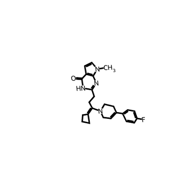 Cn1ccc2c(=O)[nH]c(CCC(=C3CCC3)N3CC=C(c4ccc(F)cc4)CC3)nc21